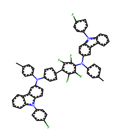 Cc1ccc(N(c2ccc(-c3c(F)c(F)c(N(c4ccc(C)cc4)c4ccc5c(c4)c4ccccc4n5-c4ccc(F)cc4)c(F)c3F)cc2)c2ccc3c(c2)c2ccccc2n3-c2ccc(F)cc2)cc1